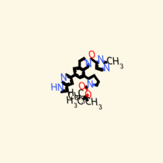 Cc1nccc(C(=O)N2CCc3cc(-c4cnc5[nH]cc(C)c5c4)cc(C4CCCN4C(=O)OC(C)(C)C)c3C2)n1